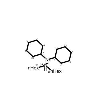 C1CCC(NC2CCCCC2)CC1.CCCCCCNCCCCCC